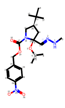 CN/N=C/[C@@]1(O[SiH](C)C)C[C@H](C(C)(C)C)CN1C(=O)OCc1ccc([N+](=O)[O-])cc1